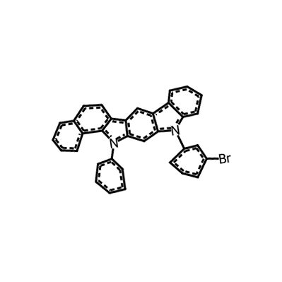 Brc1cccc(-n2c3ccccc3c3cc4c5ccc6ccccc6c5n(-c5ccccc5)c4cc32)c1